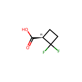 O=C(O)[C@H]1CCC1(F)F